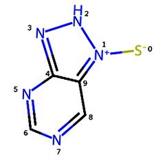 [S-][n+]1[nH]nc2ncncc21